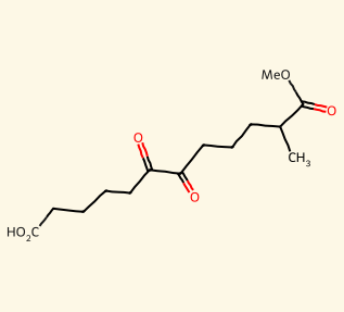 COC(=O)C(C)CCCC(=O)C(=O)CCCCC(=O)O